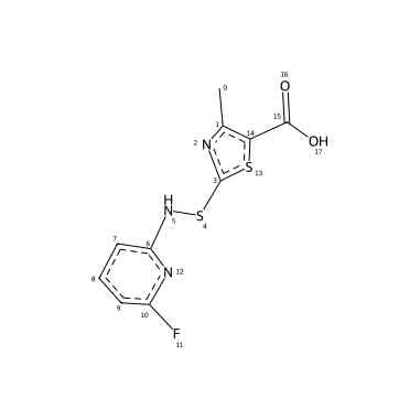 Cc1nc(SNc2cccc(F)n2)sc1C(=O)O